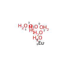 O.O.O.O.O.O.[Eu]